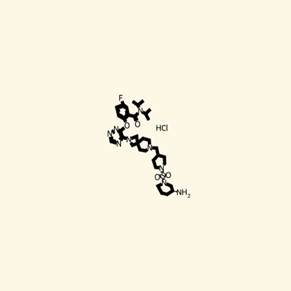 CC(C)N(C(=O)c1cc(F)ccc1Oc1nncnc1N1CC2(CCN(CC3CCN(S(=O)(=O)N4CCC[C@@H](N)C4)CC3)CC2)C1)C(C)C.Cl